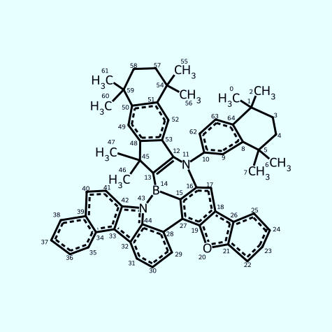 CC1(C)CCC(C)(C)c2cc(N3C4=C(B5c6c3cc3c(oc7ccccc73)c6-c3cccc6c7c8ccccc8ccc7n5c36)C(C)(C)c3cc5c(cc34)C(C)(C)CCC5(C)C)ccc21